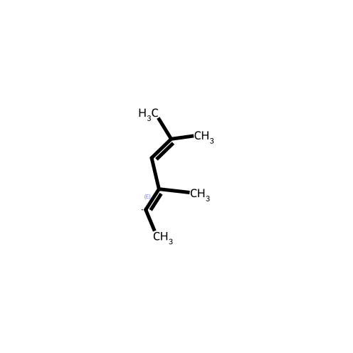 C/[C]=C(\C)C=C(C)C